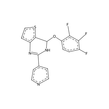 Fc1ccc(OC2NC(c3ccncc3)=Nc3ccsc32)c(F)c1F